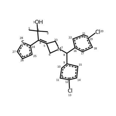 CC(C)(O)C(=C1CN(C(c2ccc(Cl)cc2)c2ccc(Cl)cc2)C1)c1cccs1